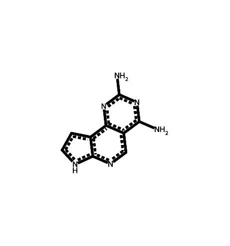 Nc1nc(N)c2cnc3[nH]ccc3c2n1